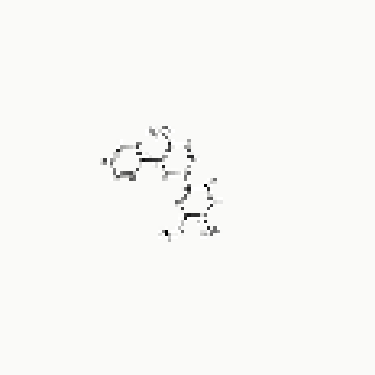 Cc1ccc(-c2cc(C)c(C(C)C)cn2)cc1-c1ccccc1